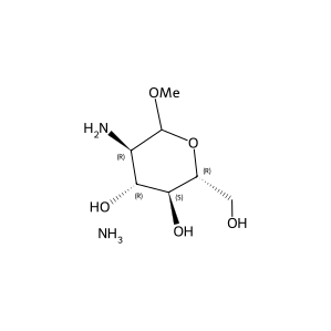 COC1O[C@H](CO)[C@@H](O)[C@H](O)[C@H]1N.N